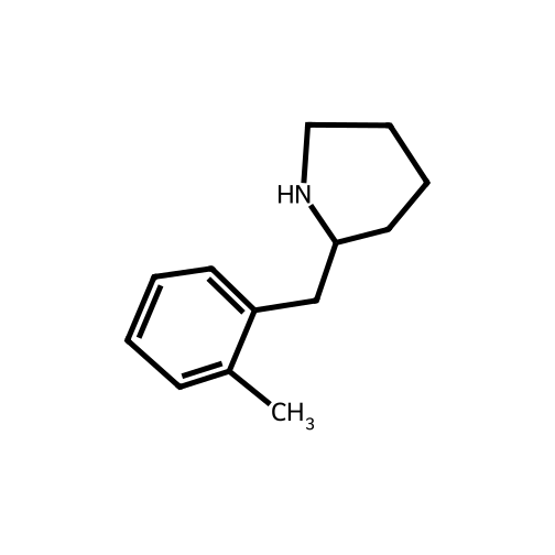 Cc1ccccc1CC1CCCCN1